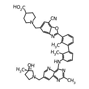 Cc1nc(Nc2cccc(-c3cccc(-c4nc5cc(CN6CCC(C(=O)O)CC6)cc(C#N)c5o4)c3C)c2C)c2ncc(CN3CC[C@](C)(O)C3)cc2n1